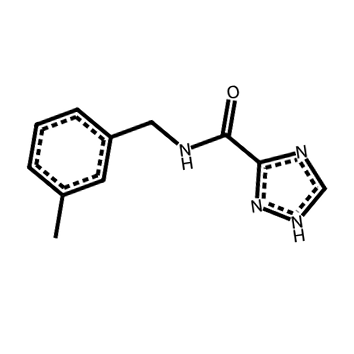 Cc1cccc(CNC(=O)c2nc[nH]n2)c1